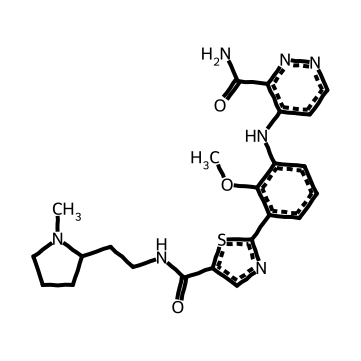 COc1c(Nc2ccnnc2C(N)=O)cccc1-c1ncc(C(=O)NCCC2CCCN2C)s1